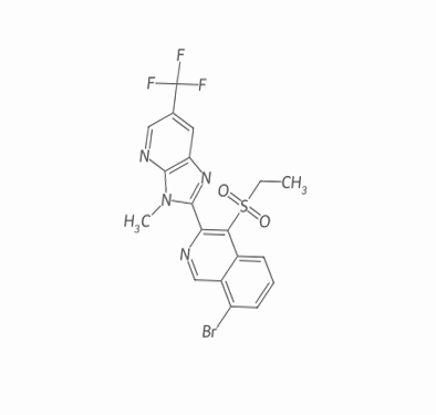 CCS(=O)(=O)c1c(-c2nc3cc(C(F)(F)F)cnc3n2C)ncc2c(Br)cccc12